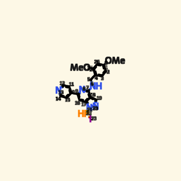 COc1ccc(CNc2nc(-c3ccncc3)cc3c2cnn3PI)c(OC)c1